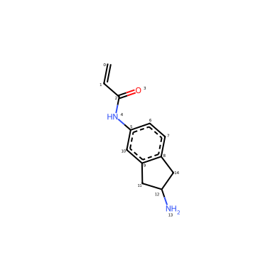 C=CC(=O)Nc1ccc2c(c1)CC(N)C2